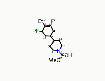 CCC1=C(F)CC(C2CCN([C@H](O)OC)CC2)CC1F